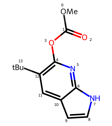 COC(=O)Oc1nc2[nH]ccc2cc1C(C)(C)C